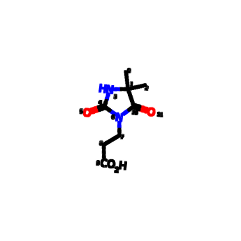 CC1(C)NC(=O)N(CCC(=O)O)C1=O